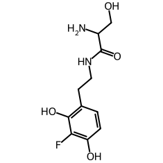 NC(CO)C(=O)NCCc1ccc(O)c(F)c1O